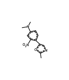 Cc1ncc(-c2ccc(N(C)C)cc2[N+](=O)[O-])o1